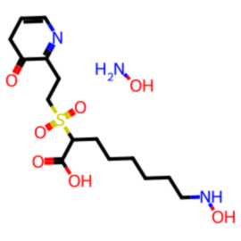 NO.O=C1CC=CN=C1CCS(=O)(=O)C(CCCCCCNO)C(=O)O